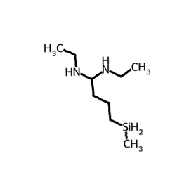 CCNC(CCC[SiH2]C)NCC